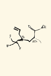 C=C[C@@H](C[C@@H](C)C(=O)O)C(F)(F)F